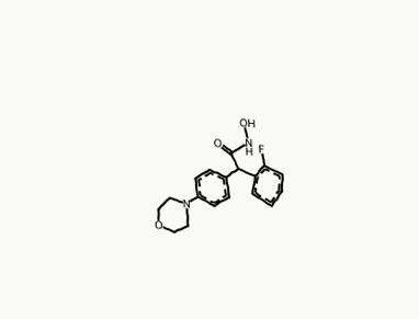 O=C(NO)C(c1ccc(N2CCOCC2)cc1)c1ccccc1F